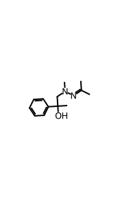 CC(C)=NN(C)CC(C)(O)c1ccccc1